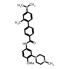 COc1ccc(NC(=O)c2ccc(-c3ccc(N(C)C)cc3C)cc2)cc1N1CCN(C)CC1